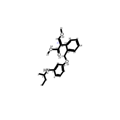 CCC(C)Nc1cccc(OCc2ccccc2/C(=C\OC)C(=O)OC)c1